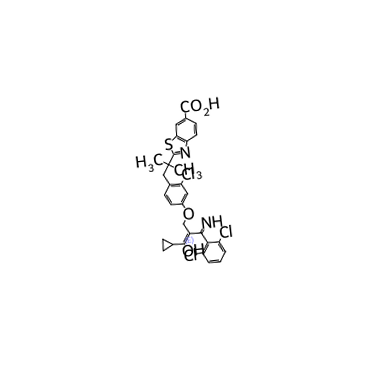 CC(C)(Cc1ccc(OC/C(C(=N)c2c(Cl)cccc2Cl)=C(/O)C2CC2)cc1Cl)c1nc2ccc(C(=O)O)cc2s1